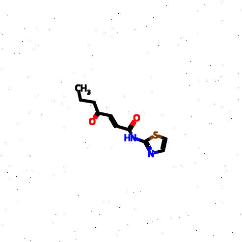 CCCC(=O)/C=C/C(=O)Nc1nccs1